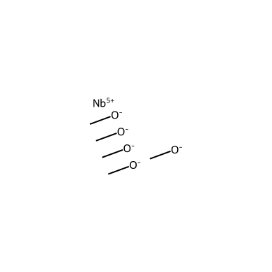 C[O-].C[O-].C[O-].C[O-].C[O-].[Nb+5]